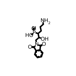 NCCCC(C(O)CN1C(=O)c2ccccc2C1=O)[PH](=O)O